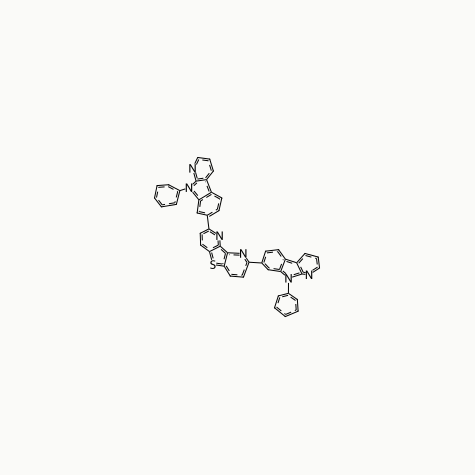 c1ccc(-n2c3cc(-c4ccc5sc6ccc(-c7ccc8c9cccnc9n(-c9ccccc9)c8c7)nc6c5n4)ccc3c3cccnc32)cc1